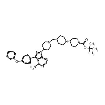 CC(C)(C)OC(=O)N1CCC(N2CCC(CN3CCC(n4nc(-c5ccc(Oc6ccccc6)cc5)c5c(N)ncnc54)CC3)CC2)CC1